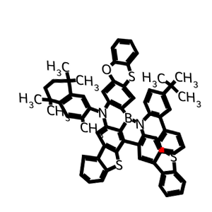 Cc1cc2c(cc1N1c3cc4c(cc3B3c5c1cc1c(sc6ccccc61)c5-c1cc5c(cc1N3c1ccc(C(C)(C)C)cc1-c1ccccc1)sc1ccccc15)Sc1ccccc1O4)C(C)(C)CCC2(C)C